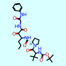 CCCC(NC(=O)[C@@H]1CCCN1C(=O)C(NC(=O)OC(C)(C)C)C(C)(C)C)C(=O)C(=O)NCC(=O)Nc1ccccc1